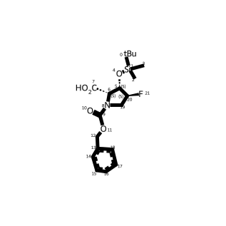 CC(C)(C)[Si](C)(C)O[C@H]1[C@@H](C(=O)O)N(C(=O)OCc2ccccc2)C[C@@H]1F